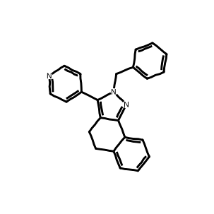 c1ccc(Cn2nc3c(c2-c2ccncc2)CCc2ccccc2-3)cc1